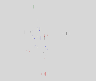 Cc1ccc(CN2C[C@H]3N(C(=O)CN(C)N3C(=O)NCc3ccc(F)cc3)[C@@H](Cc3ccc(O)cc3)C2=O)cc1